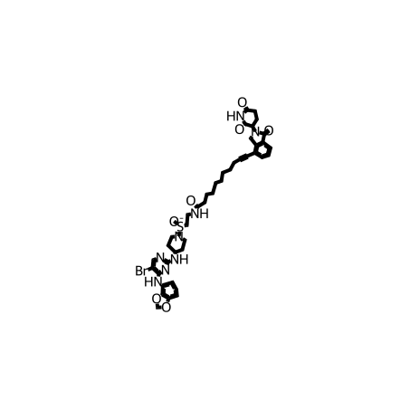 O=C(CCCCCCCCC#Cc1cccc2c1CN(C1CCC(=O)NC1=O)C2=O)NCC[S+]([O-])N1CCC(Nc2ncc(Br)c(Nc3cccc4c3OCO4)n2)CC1